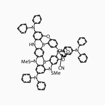 CSN1c2cc3c(cc2B2c4cc5c(cc4N(SC)c4cc(N(c6ccccc6)c6ccccc6)cc1c42)Oc1cc(N(c2ccccc2)c2ccccc2)cc2c1B5c1cc(C#N)ccc1O2)B1c2cc(C#N)ccc2Oc2cc(N(c4ccccc4)c4ccccc4)cc(c21)N3